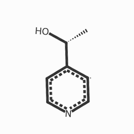 C[C@@H](O)c1[c]cncc1